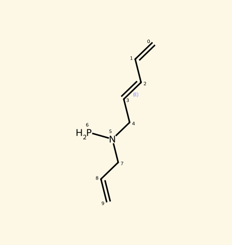 C=C/C=C/CN(P)CC=C